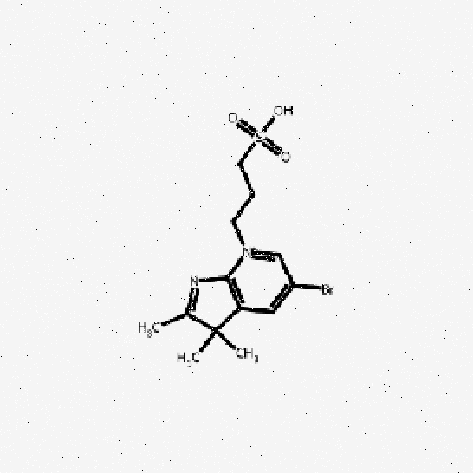 CC1=Nc2c(cc(Br)c[n+]2CCCS(=O)(=O)O)C1(C)C